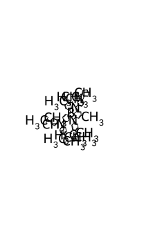 Cc1cc2c3c(c1)N(c1ccc4c(c1)C(C)(C)c1ccccc1-4)c1cc(C(C)(C)C)ccc1B3c1ccc(N(c3ccc(C(C)(C)C)cc3)c3ccc(C(C)(C)C)cc3)cc1N2c1ccc(C(C)(C)C)cc1